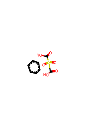 O=C(O)S(=O)(=O)C(=O)O.c1ccccc1